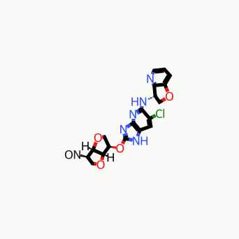 O=N[C@@H]1CO[C@H]2[C@@H]1OC[C@H]2Oc1nc2nc(N[C@H]3COc4cccnc43)c(Cl)cc2[nH]1